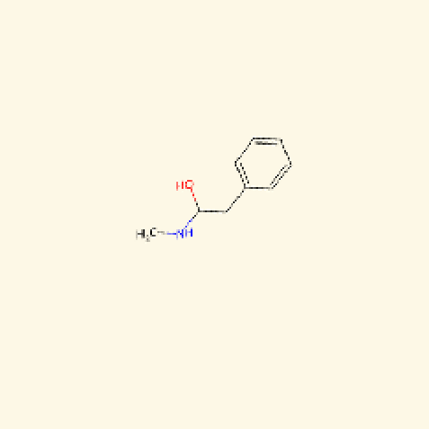 CNC(O)Cc1ccccc1